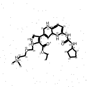 CCOC(=O)c1c(C2=CC3NC(NC(=O)NC4CCCC4)=CC=C3NC2)cnn1COCC[SiH](C)C